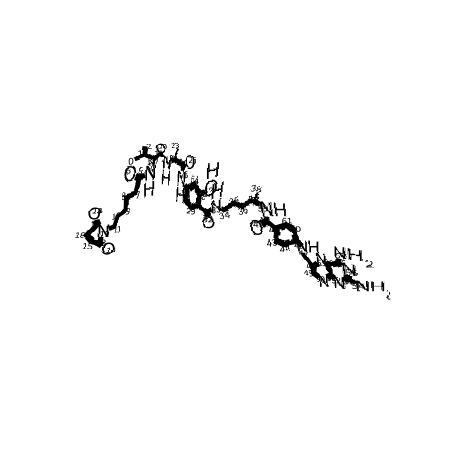 CC(C)[C@H](NC(=O)CCCCCN1C(=O)C=CC1=O)C(=O)N[C@@H](C)C(=O)Nc1ccc(C(=O)NCCC[C@@H](C)NC(=O)c2ccc(NCc3cnc4nc(N)nc(N)c4n3)cc2)c(O)c1